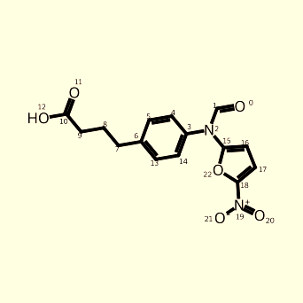 O=CN(c1ccc(CCCC(=O)O)cc1)c1ccc([N+](=O)[O-])o1